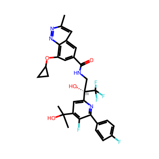 Cc1cc2cc(C(=O)NC[C@](O)(c3cc(C(C)(C)O)c(F)c(-c4ccc(F)cc4)n3)C(F)(F)F)cc(OC3CC3)c2nn1